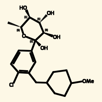 COC1CCC(Cc2cc([C@]3(O)O[C@H](C)[C@@H](O)[C@H](O)[C@H]3O)ccc2Cl)CC1